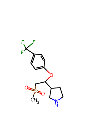 CS(=O)(=O)CC(Oc1ccc(C(F)(F)F)cc1)C1CCNC1